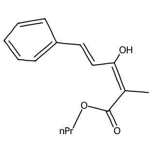 CCCOC(=O)C(C)=C(O)C=Cc1ccccc1